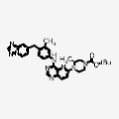 Cc1cc(Nc2ncnc3ccc(N4CCN(C(=O)OC(C)(C)C)C[C@@H]4C)nc23)ccc1Cc1ccn2ncnc2c1